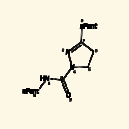 CCCCCNC(=O)N1CCC(CCCCC)=N1